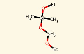 CCO[SiH2]O[Si](C)(C)OCC